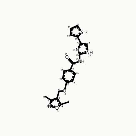 Cc1noc(C)c1COc1ccc(C(=O)Nc2nc(-c3cccs3)c[nH]2)cc1